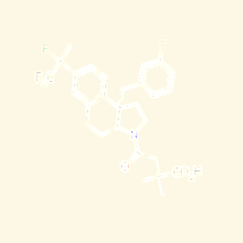 CC(C)(CC(=O)N1CCC2(Cc3cccc(F)c3)c3ccc(C(C)(F)C(F)(F)F)cc3CCC12)C(=O)O